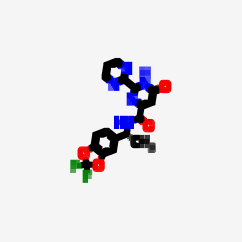 C[C@@H](NC(=O)c1cc(=O)[nH]c(-c2ncccn2)n1)c1ccc2c(c1)OC(F)(F)O2